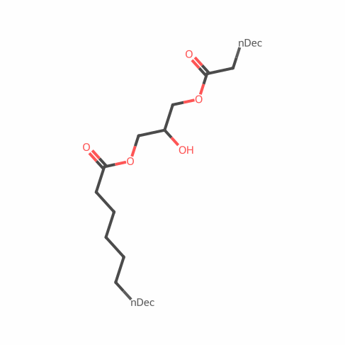 CCCCCCCCCCCCCCCC(=O)OCC(O)COC(=O)CCCCCCCCCCC